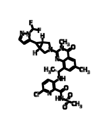 Cc1cc([C@@H](C)Nc2ccc(Cl)nc2C(=O)NS(C)(=O)=O)c2nc(N3C[C@@H]4C(c5ccnn5C(F)F)[C@@H]4C3)n(C)c(=O)c2c1